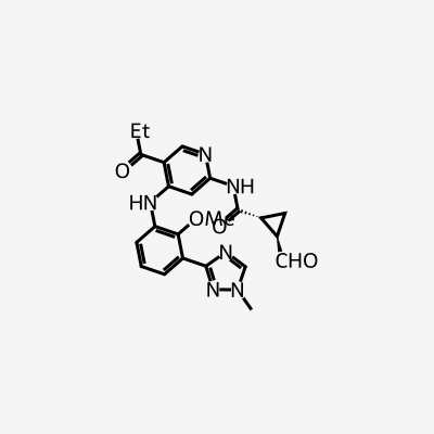 CCC(=O)c1cnc(NC(=O)[C@@H]2C[C@H]2C=O)cc1Nc1cccc(-c2ncn(C)n2)c1OC